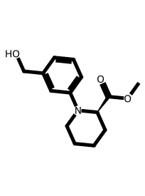 COC(=O)[C@H]1CCCCN1c1cccc(CO)c1